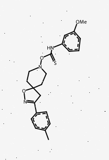 COc1cccc(NC(=S)ON2CCC3(CC2)CC(c2ccc(C)cc2)=NO3)c1